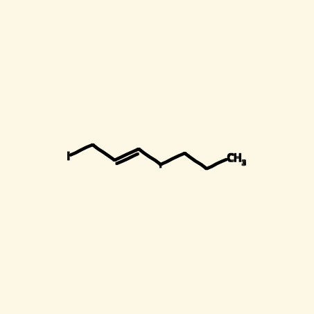 CCC[CH]C=CCI